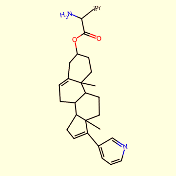 CC(C)C(N)C(=O)OC1CCC2(C)C(=CCC3C2CCC2(C)C(c4cccnc4)=CCC32)C1